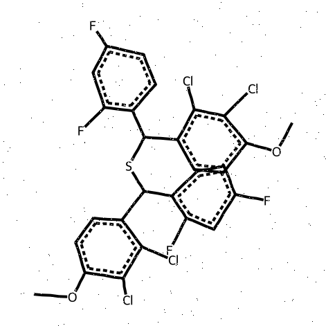 COc1ccc(C(SC(c2ccc(F)cc2F)c2ccc(OC)c(Cl)c2Cl)c2ccc(F)cc2F)c(Cl)c1Cl